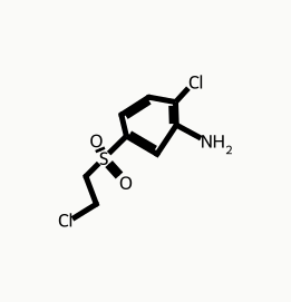 Nc1cc(S(=O)(=O)CCCl)ccc1Cl